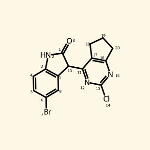 O=C1Nc2ccc(Br)cc2C1c1nc(Cl)nc2c1CCC2